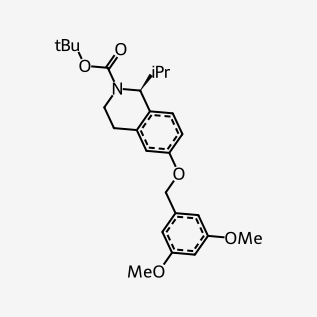 COc1cc(COc2ccc3c(c2)CCN(C(=O)OC(C)(C)C)[C@H]3C(C)C)cc(OC)c1